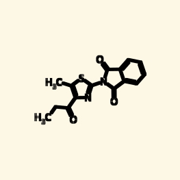 CCC(=O)c1nc(N2C(=O)c3ccccc3C2=O)sc1C